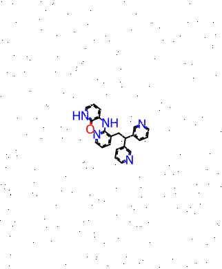 O=c1[nH]cccc1Nc1ncccc1CC(c1cccnc1)c1cccnc1